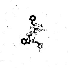 C[C@H](OC(C)(C)C)[C@H](NC(=O)Cc1ccccc1)C(=O)NCC(=O)N1c2ccccc2C[C@H]1C(=O)NCc1nn[nH]n1